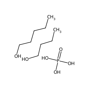 CCCCCO.CCCCO.O=P(O)(O)O